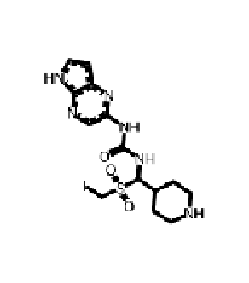 O=C(Nc1cnc2[nH]ccc2n1)NC(C1CCNCC1)S(=O)(=O)CI